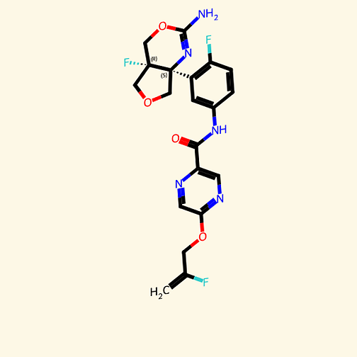 C=C(F)COc1cnc(C(=O)Nc2ccc(F)c([C@]34COC[C@@]3(F)COC(N)=N4)c2)cn1